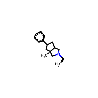 C=CN1CC2CC(c3ccccc3)C[C@@]2(C)C1